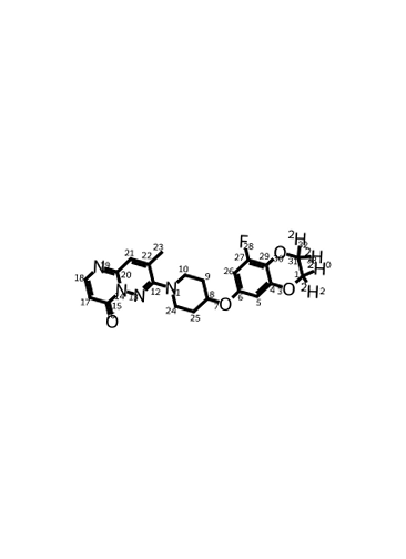 [2H]C1([2H])Oc2cc(OC3CCN(c4nn5c(=O)ccnc5cc4C)CC3)cc(F)c2OC1([2H])[2H]